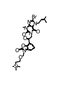 CC(C)=CCn1c(Br)nc2c1c(=O)n(CC(=O)c1cccc3c1oc(=O)n3COCC[Si](C)(C)C)c(=O)n2C